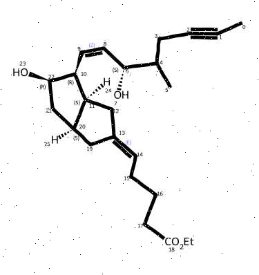 CC#CCC(C)[C@H](O)/C=C\[C@H]1[C@H]2C/C(=C/CCCC(=O)OCC)C[C@H]2C[C@H]1O